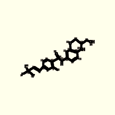 Cc1cc(C=CC(F)(F)F)ccc1C(=O)Nc1cnc2c(c1)OCC(CO)N2